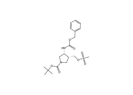 CC(C)(C)OC(=O)N1C[C@@H](COS(C)(=O)=O)[C@@H](NC(=O)OCc2ccccc2)C1